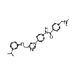 CC(C)c1cccc(OCc2cn(-c3ccc(NC(=O)c4ccc(CN(C)C)cc4)cc3)cn2)c1